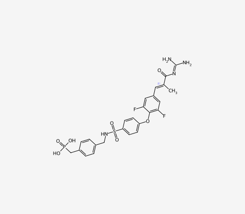 C/C(=C\c1cc(F)c(Oc2ccc(S(=O)(=O)NCc3ccc(CP(=O)(O)O)cc3)cc2)c(F)c1)C(=O)N=C(N)N